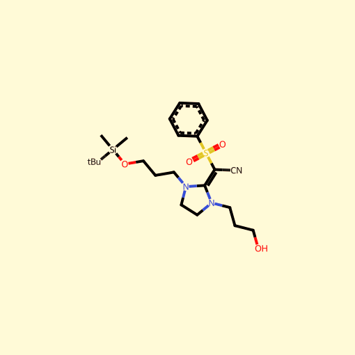 CC(C)(C)[Si](C)(C)OCCCN1CCN(CCCO)C1=C(C#N)S(=O)(=O)c1ccccc1